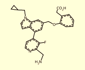 NCc1nccc(-c2cc(COc3ccccc3CC(=O)O)cc3c2ccn3CC2CC2)c1F